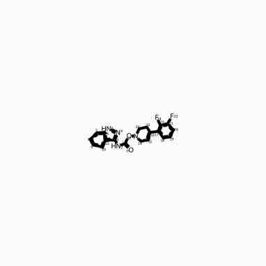 O=C(Nc1n[nH]c2ccccc12)ON1CC=C(c2cccc(F)c2F)CC1